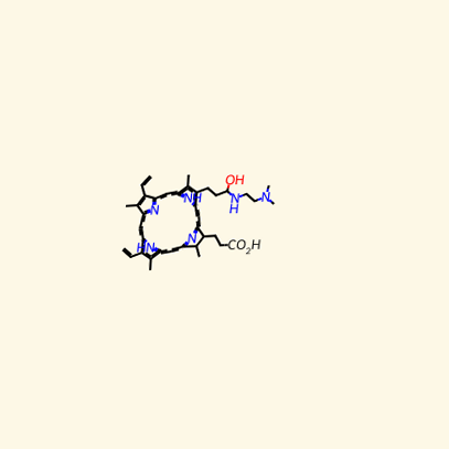 C=CC1=C(C)c2cc3[nH]c(cc4nc(cc5[nH]c(cc1n2)c(C)c5CCC(O)NCCN(C)C)C(CCC(=O)O)C4C)c(C)c3C=C